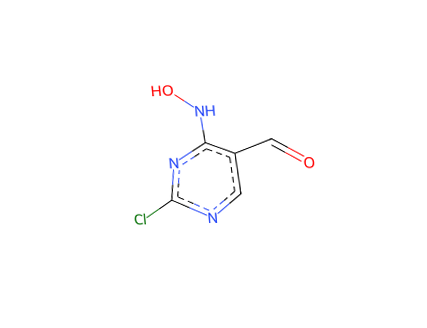 O=Cc1cnc(Cl)nc1NO